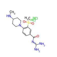 CNC1CCN(c2ccc(C(=O)N=C(N)N)cc2S(C)(=O)=O)CC1.Cl.Cl